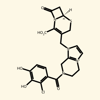 O=C(O)C1=C(Cn2cc[n+]3c2CN(C(=O)c2ccc(O)c(O)c2Cl)CC3)CS[C@@H]2CC(=O)N12